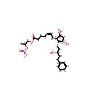 CC(COC(=O)CCC/C=C\C[C@@H]1[C@@H](CC[C@@H](O)CCc2ccccc2)[C@H](O)C[C@@H]1O)O[N+](=O)[O-]